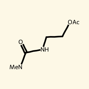 CNC(=O)NCCOC(C)=O